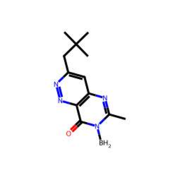 Bn1c(C)nc2cc(CC(C)(C)C)nnc2c1=O